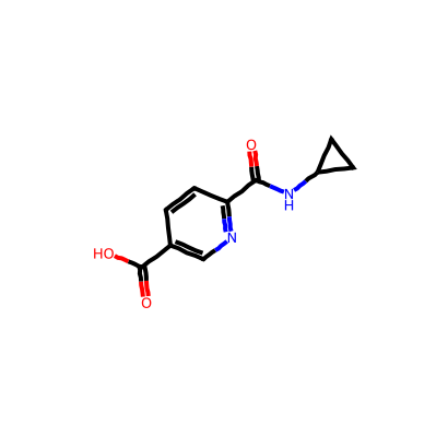 O=C(O)c1ccc(C(=O)NC2CC2)nc1